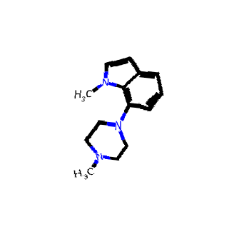 CN1CCN(c2cccc3ccn(C)c23)CC1